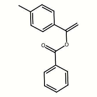 C=C(OC(=O)c1ccccc1)c1ccc(C)cc1